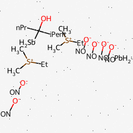 CCCC(C)[C](O)([SbH2])CCC.CC[S+](C)C.CC[S+](C)C.O=N[O-].O=N[O-].O=N[O-].O=N[O-].O=N[O-].O=N[O-].[PbH2]